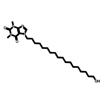 Cn1c(=O)c2c(ncn2CCCCCCCCCCCCCCCCCCO)n(C)c1=O